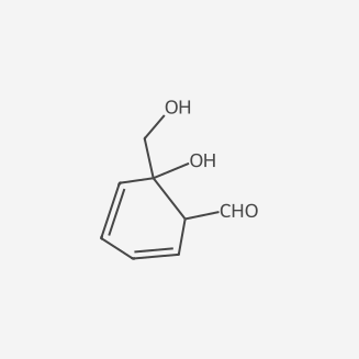 O=CC1C=CC=CC1(O)CO